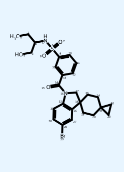 CCC(CO)NS(=O)(=O)c1cccc(C(=O)N2CC3(CCC4(CC4)CC3)c3cc(Br)ccc32)c1